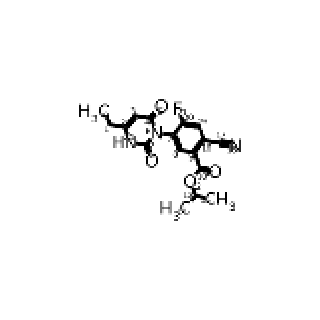 CCc1cc(=O)n(-c2cc(C(=O)OC(C)C)c(C#N)cc2F)c(=O)[nH]1